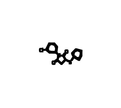 O=C1CC(Sc2ccccc2)C(=O)N1c1cccc(Cl)c1